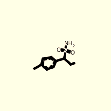 [CH2]CC(c1ccc(C)cc1)S(N)(=O)=O